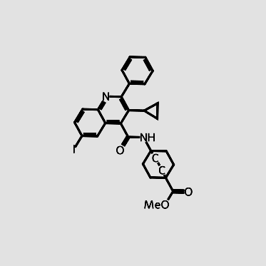 COC(=O)C12CCC(NC(=O)c3c(C4CC4)c(-c4ccccc4)nc4ccc(I)cc34)(CC1)CC2